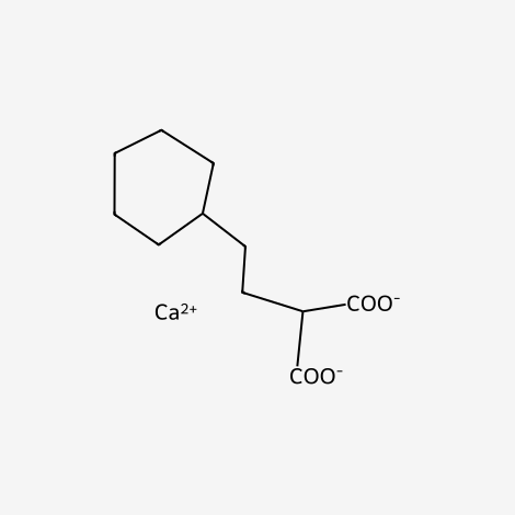 O=C([O-])C(CCC1CCCCC1)C(=O)[O-].[Ca+2]